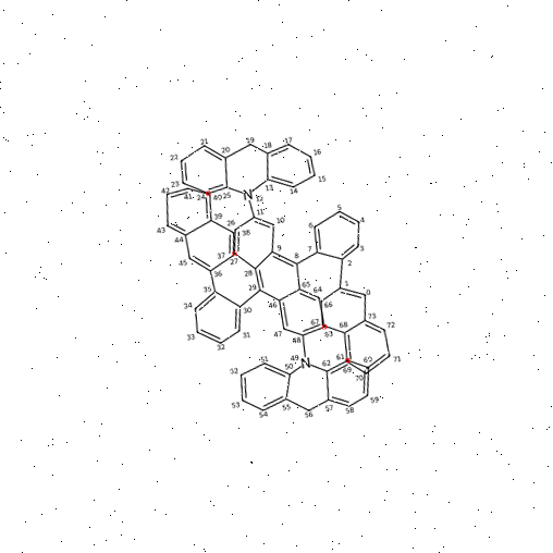 C1=C(c2ccccc2-c2c3cc(N4c5ccccc5Cc5ccccc54)ccc3c(-c3ccccc3-c3ccc4ccccc4c3)c3cc(N4c5ccccc5Cc5ccccc54)ccc23)CCc2ccccc21